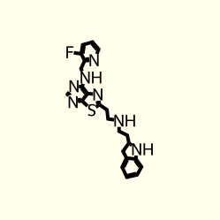 Fc1cccnc1CNc1ncnc2sc(CCNCCC3Cc4ccccc4N3)nc12